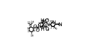 Cc1cc(N2C(=O)[C@@H]3[C@@H]4C[C@H](N(C(=O)O[C@H]5C[C@@H](C)CC[C@@H]5C(C)C)C4)N3C2=O)cnc1C#N